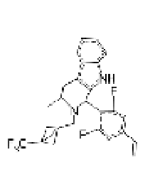 C=Cc1cc(F)c(C2c3[nH]c4ccccc4c3CC(C)N2CC23CC(C(F)(F)F)(C2)C3)c(F)c1